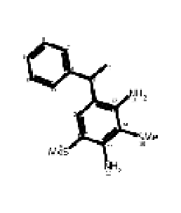 CSc1cc(C(C)c2ccccc2)c(N)c(SC)c1N